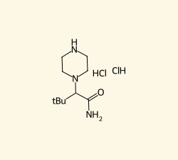 CC(C)(C)C(C(N)=O)N1CCNCC1.Cl.Cl